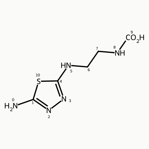 Nc1nnc(NCCNC(=O)O)s1